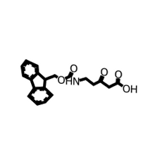 O=C(O)CC(=O)CCNC(=O)OCC1c2ccccc2-c2ccccc21